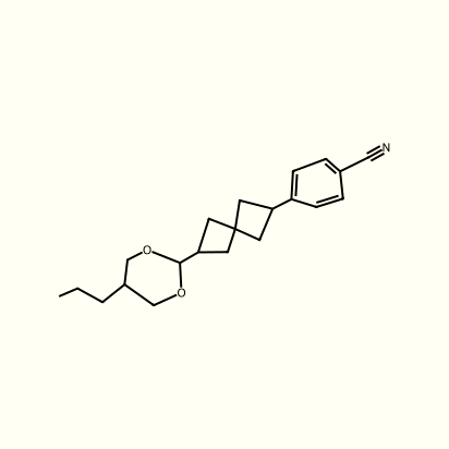 CCCC1COC(C2CC3(CC(c4ccc(C#N)cc4)C3)C2)OC1